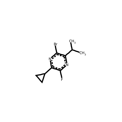 CC(C)c1nc(F)c(C2CC2)nc1Br